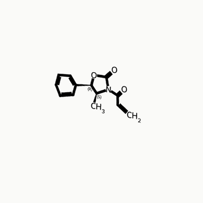 C=CC(=O)N1C(=O)O[C@H](c2ccccc2)[C@@H]1C